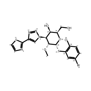 CO[C@@H]1[C@@H](n2cc(-c3nccs3)nn2)[C@@H](O)[C@@H](CO)O[C@@H]1Sc1cc(Br)ccc1Cl